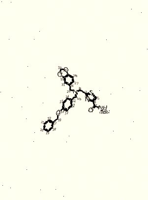 CCC(C)NC(=O)c1csc(CN(Cc2ccc(OCc3ccccc3)cc2)Cc2ccc3c(c2)OCO3)n1